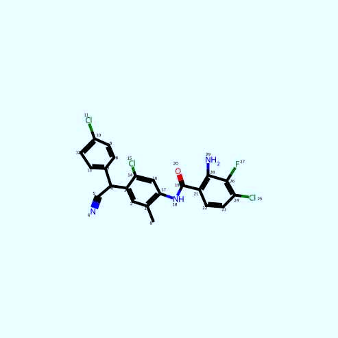 Cc1cc(C(C#N)c2ccc(Cl)cc2)c(Cl)cc1NC(=O)c1ccc(Cl)c(F)c1N